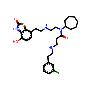 O=C(CCNCCc1cccc(F)c1)N(CCNCCc1ccc(O)c2[nH]c(=O)sc12)C1CCCCCC1